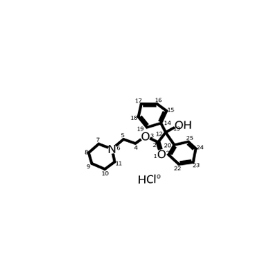 Cl.O=C(OCCN1CCCCC1)C(O)(c1ccccc1)c1ccccc1